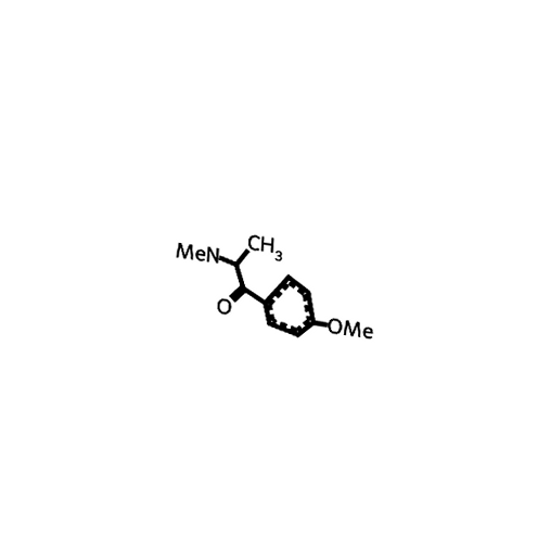 CNC(C)C(=O)c1ccc(OC)cc1